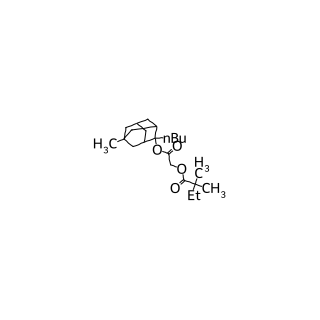 CCCCC1(OC(=O)COC(=O)C(C)(C)CC)C2CC3CC1CC(C)(C3)C2